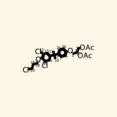 CC(=O)OC[C@H](COc1ccc(C(C)(C)C2=CC(Cl)=C(OCCCCl)C(Cl)C2)cc1)OC(C)=O